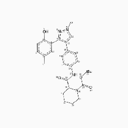 Cc1ccc(O)c(-c2nn(C)cc2-c2ccc(NC(=O)C3CCCCN3C(=O)OC(C)(C)C)cc2)c1